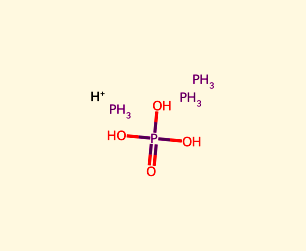 O=P(O)(O)O.P.P.P.[H+]